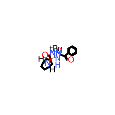 CC(C)(C)NC(=O)CN1[C@@H]2CC[C@H]1C[C@@H](CNC(=O)c1coc3ccccc13)C2